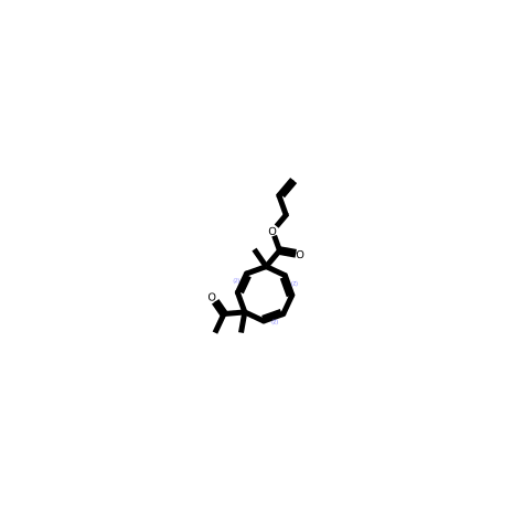 C=CCOC(=O)C1(C)/C=C\C=C/C(C)(C(C)=O)/C=C\1